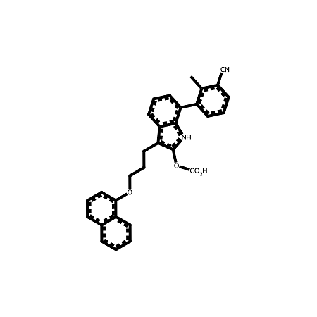 Cc1c(C#N)cccc1-c1cccc2c(CCCOc3cccc4ccccc34)c(OC(=O)O)[nH]c12